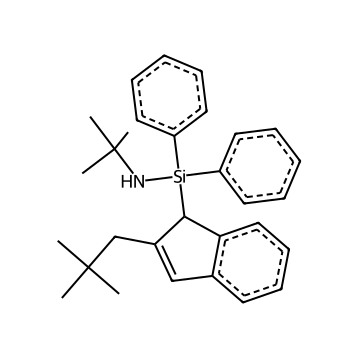 CC(C)(C)CC1=Cc2ccccc2C1[Si](NC(C)(C)C)(c1ccccc1)c1ccccc1